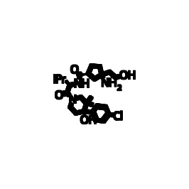 CC(C)[C@@H](NC(=O)[C@@H]1CCC(N)(CCO)C1)C(=O)N1CC[C@](O)(c2ccc(Cl)cc2)C(C)(C)C1